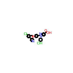 Cl.O=C(O)c1ccc2c(c1)nc(-c1ccc(OCc3cc(Cl)ccc3-c3ccncc3)cc1)n2C1CCCCC1